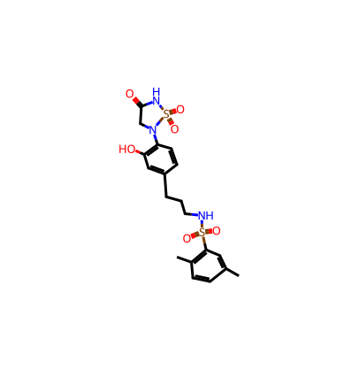 Cc1ccc(C)c(S(=O)(=O)NCCCc2ccc(N3CC(=O)NS3(=O)=O)c(O)c2)c1